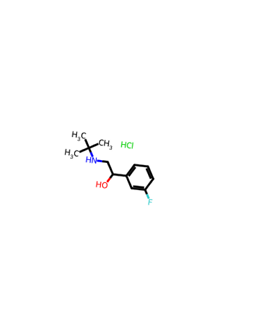 CC(C)(C)NCC(O)c1cccc(F)c1.Cl